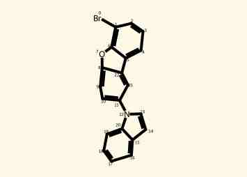 Brc1cccc2c1oc1ccc(-n3ccc4ccccc43)cc12